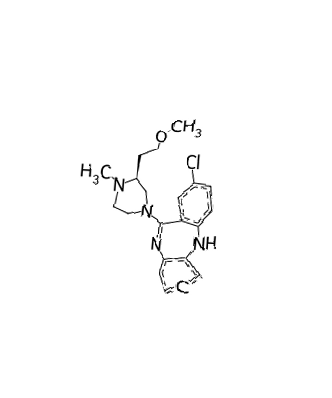 COCC[C@H]1CN(C2=Nc3ccccc3Nc3ccc(Cl)cc32)CCN1C